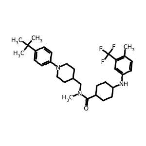 Cc1ccc(NC2CCC(C(=O)N(C)CC3CCN(c4ccc(C(C)(C)C)cc4)CC3)CC2)cc1C(F)(F)F